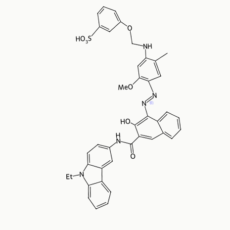 CCn1c2ccccc2c2cc(NC(=O)c3cc4ccccc4c(/N=N/c4cc(C)c(NCOc5cccc(S(=O)(=O)O)c5)cc4OC)c3O)ccc21